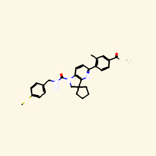 COC(=O)c1ccc(-c2ccc3c(n2)C2(CCCC2)CN3C(=O)NCc2ccc(S(C)(=O)=O)cc2)c(C)c1